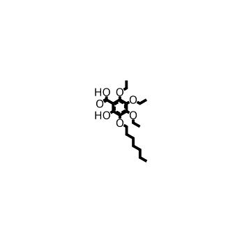 CCCCCCCOc1c(O)c(C(=O)O)c(OCC)c(OCC)c1OCC